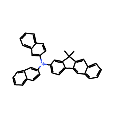 CC1(C)c2cc(N(c3ccc4ccccc4c3)c3ccc4ccccc4c3)ccc2-c2cc3ccccc3cc21